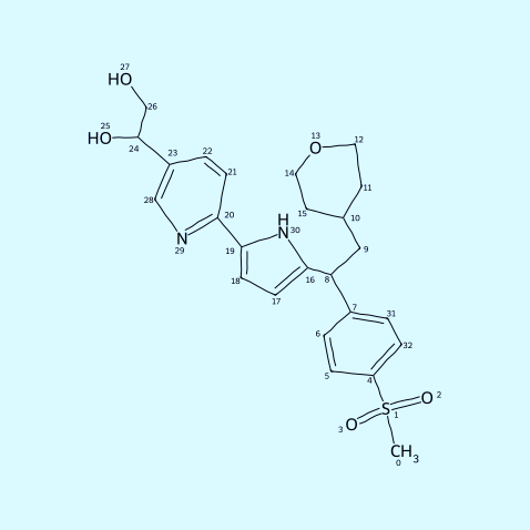 CS(=O)(=O)c1ccc(C(CC2CCOCC2)c2ccc(-c3ccc(C(O)CO)cn3)[nH]2)cc1